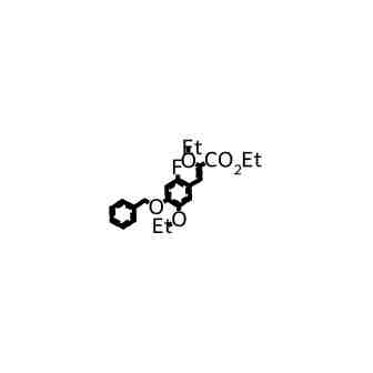 CCOC(=O)/C(=C/c1cc(OCC)c(OCc2ccccc2)cc1F)OCC